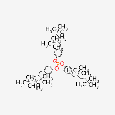 CC(C)(C)CCC(Cc1ccc(OP(Oc2ccc(CC(CCC(C)(C)C)C(C)(C)C)cc2)Oc2ccc(CC(CCC(C)(C)C)C(C)(C)C)cc2)cc1)C(C)(C)C